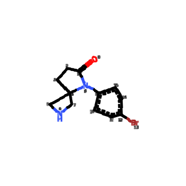 O=C1CCC2(CNC2)N1c1ccc(Br)cc1